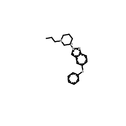 CCCN1CCC[C@@H](n2cc3cc(Sc4ccccc4)ccc3n2)C1